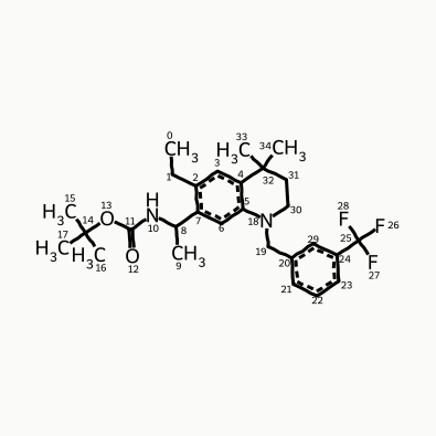 CCc1cc2c(cc1C(C)NC(=O)OC(C)(C)C)N(Cc1cccc(C(F)(F)F)c1)CCC2(C)C